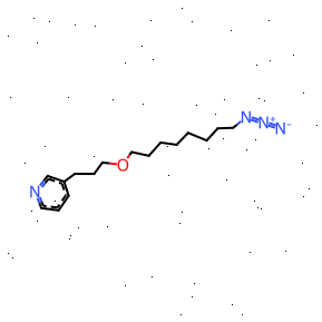 [N-]=[N+]=NCCCCCCCCOCCCc1cccnc1